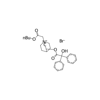 CCCCOC(=O)C[N+]12CCC(CC1)C(OC(=O)C(O)(c1ccccc1)c1ccccc1)C2.[Br-]